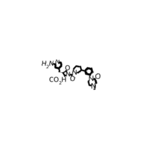 CN1CCN(c2cccc(C3CCCN(C(=O)N4C(=O)[C@H](Cc5ccnc(N)c5)[C@H]4C(=O)O)C3)c2)C(=O)C1